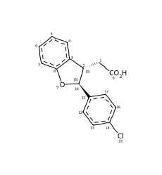 O=C(O)C[C@H]1c2ccccc2O[C@@H]1c1ccc(Cl)cc1